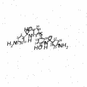 Nc1ccc(C(=O)Nc2cc(Sc3ccc(O)c(NC(=O)c4ccc(N)cc4)c3)ccc2O)cc1